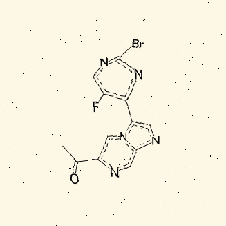 CC(=O)c1cn2c(-c3nc(Br)ncc3F)cnc2cn1